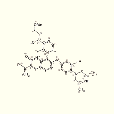 C=C(c1cc2cnc(Nc3ccc(N4C[C@@H](C)N[C@@H](C)C4)c(F)c3)nc2n(Cc2nccnc2[S+]([O-])CCOC)c1=O)C(C)C